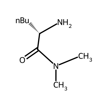 CCCC[C@H](N)C(=O)N(C)C